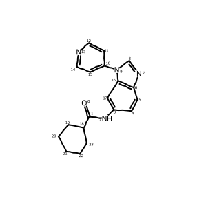 O=C(Nc1ccc2ncn(-c3ccncc3)c2c1)C1CCCCC1